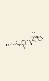 CN(C(=O)Cc1ccc(ONCCO)c(Cl)c1)C1CCCC[C@H]1N1CCCC1